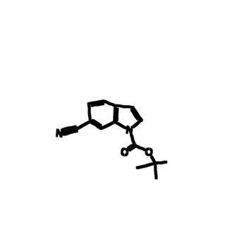 CC(C)(C)OC(=O)n1ccc2ccc(C#N)cc21